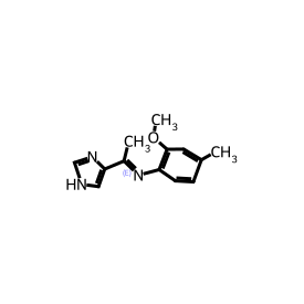 COc1cc(C)ccc1/N=C(\C)c1c[nH]cn1